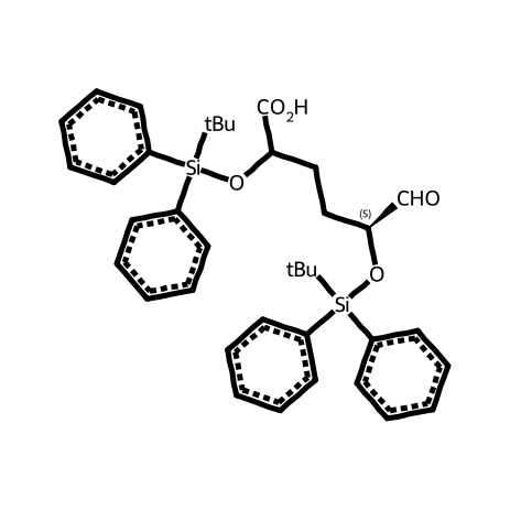 CC(C)(C)[Si](OC(CC[C@@H](C=O)O[Si](c1ccccc1)(c1ccccc1)C(C)(C)C)C(=O)O)(c1ccccc1)c1ccccc1